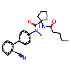 CCCCC(=O)NC1(C(=O)N(C)c2ccc(-c3ccccc3C#N)cc2)CCCC1